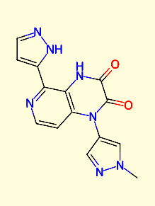 Cn1cc(-n2c(=O)c(=O)[nH]c3c(-c4ccn[nH]4)nccc32)cn1